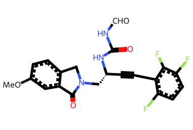 COc1ccc2c(c1)C(=O)N(C[C@@H](C#Cc1c(F)ccc(F)c1F)NC(=O)NC=O)C2